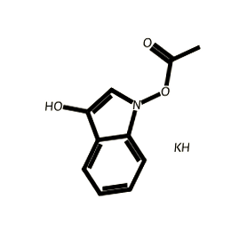 CC(=O)On1cc(O)c2ccccc21.[KH]